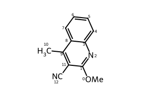 COc1nc2ccccc2c(C)c1C#N